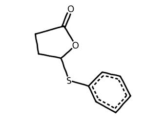 O=C1CCC(Sc2ccccc2)O1